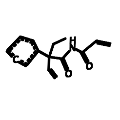 C=CC(=O)NC(=O)C(C=C)(CC)c1ccccc1